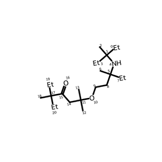 CCC(C)(CC)NC(C)(CC)CCOC(C)(C)CC(=O)C(C)(CC)CC